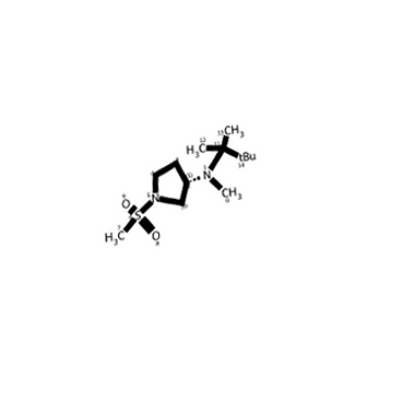 CN([C@H]1CCN(S(C)(=O)=O)C1)C(C)(C)C(C)(C)C